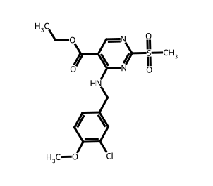 CCOC(=O)c1cnc(S(C)(=O)=O)nc1NCc1ccc(OC)c(Cl)c1